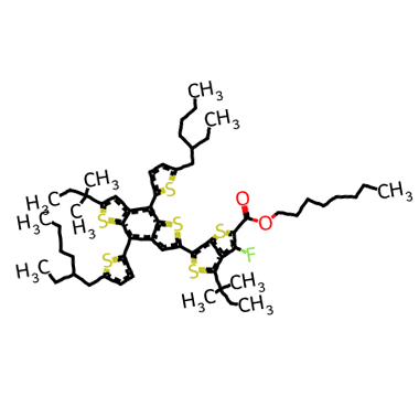 CCCCCCCCOC(=O)c1sc2c(-c3cc4c(-c5ccc(CC(CC)CCCC)s5)c5sc(C(C)(C)CC)cc5c(-c5ccc(CC(CC)CCCC)s5)c4s3)sc(C(C)(C)CC)c2c1F